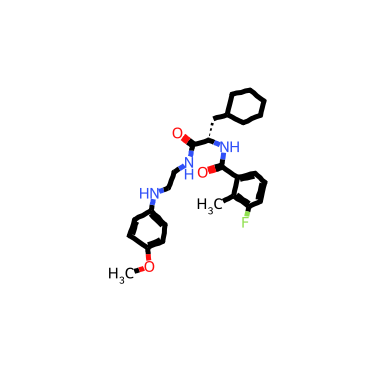 COc1ccc(NCCNC(=O)[C@H](CC2CCCCC2)NC(=O)c2cccc(F)c2C)cc1